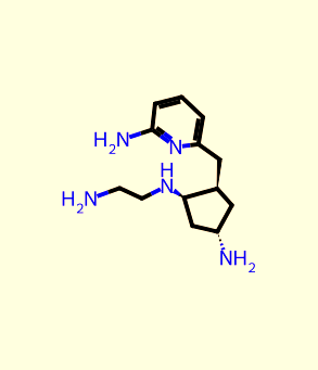 NCCN[C@@H]1C[C@@H](N)C[C@@H]1Cc1cccc(N)n1